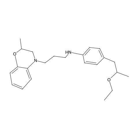 CCOC(C)Cc1ccc(NCCCN2CC(C)Oc3ccccc32)cc1